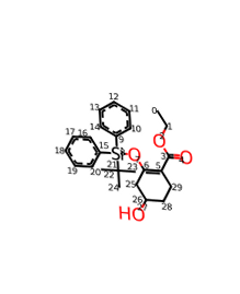 CCOC(=O)C1=C(O[Si](c2ccccc2)(c2ccccc2)C(C)(C)C)CC(O)CC1